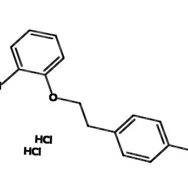 Cl.Cl.[CH2]c1ccc(CCOc2ccccc2Cl)cc1